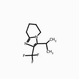 CC(C)c1c(C(F)(F)F)nc2n1CCCC2